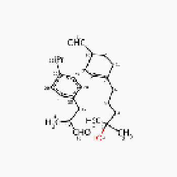 CC(C)(O)CCCC1=CCC(C=O)CC1.CC(C=O)Cc1ccc(C(C)C)cc1